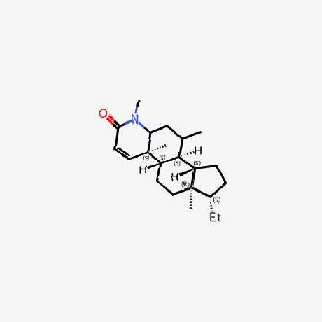 CC[C@H]1CC[C@H]2[C@@H]3C(C)CC4N(C)C(=O)C=C[C@]4(C)[C@H]3CC[C@]12C